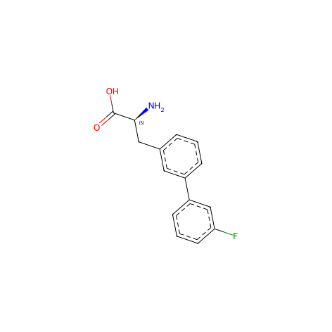 N[C@@H](Cc1cccc(-c2cccc(F)c2)c1)C(=O)O